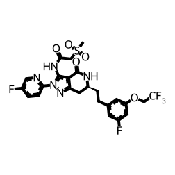 CS(=O)(=O)CC(=O)Nc1c2c(nn1-c1ccc(F)cn1)C[C@H](CCc1cc(F)cc(OCC(F)(F)F)c1)NC2=O